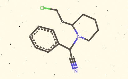 N#CC(c1ccccc1)N1CCCCC1CCCl